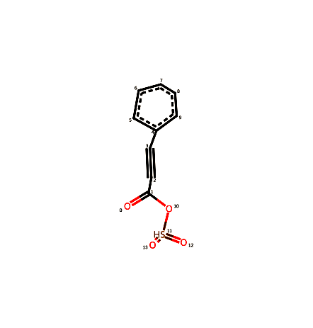 O=C(C#Cc1ccccc1)O[SH](=O)=O